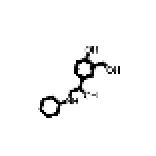 OCc1cc(C(O)CNC2CCCCC2)ccc1O